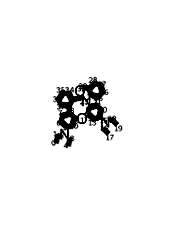 CCN(CC)c1ccc2c(c1)oc1cc(N(CC)CC)ccc1n(-c1ccccc1C)c(=O)c1ccccc12